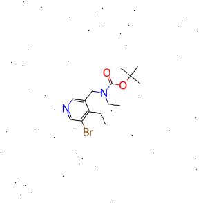 CCc1c(Br)cncc1CN(CC)C(=O)OC(C)(C)C